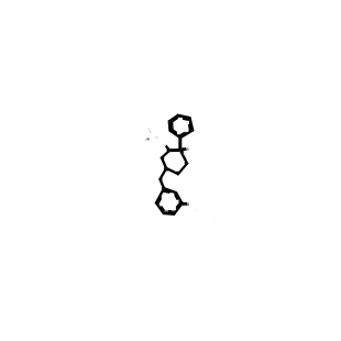 COc1cccc(CC2CCC(O)(c3ccccc3)C(CN(C)C)C2)c1